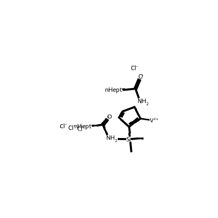 CCCCCCCC(N)=O.CCCCCCCC(N)=O.C[Si](C)(C)C1=[C]([V+4])CC=C1.[Cl-].[Cl-].[Cl-].[Cl-]